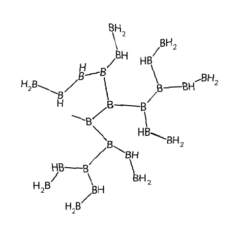 BBBB(BB)B(B(C)B(BB)B(BB)BB)B(BB)B(BB)BB